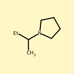 CC[C](C)N1CCCC1